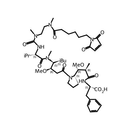 CC[C@H](C)[C@@H]([C@@H](CC(=O)N1CCC[C@H]1[C@H](OC)[C@@H](C)C(=O)N[C@@H](Cc1ccccc1)C(=O)O)OC)N(C)C(=O)[C@@H](NC(=O)N(C)CCN(C)C(=O)CCCCCN1C(=O)C=CC1=O)C(C)C